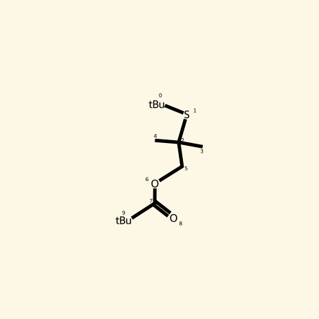 CC(C)(C)SC(C)(C)COC(=O)C(C)(C)C